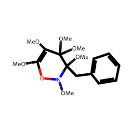 COC1=C(OC)C(OC)(OC)C(Cc2ccccc2)(OC)N(OC)O1